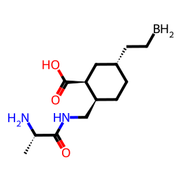 BCC[C@@H]1CC[C@@H](CNC(=O)[C@H](C)N)[C@@H](C(=O)O)C1